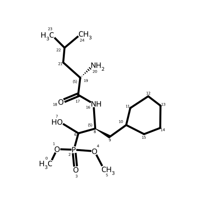 COP(=O)(OC)C(O)[C@H](CC1CCCCC1)NC(=O)[C@@H](N)CC(C)C